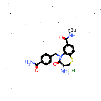 CCCCNC(=O)c1ccc2c(c1)N(Cc1ccc(C(N)=O)cc1)C(=O)[C@@H](N)CS2.Cl